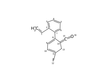 C=Cc1ccccc1C1=CC=C(F)CC1=C=O